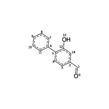 O=Cc1ccc(-c2ccccc2)c(O)c1